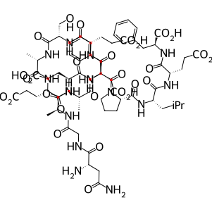 CC(C)C[C@H](NC(=O)[C@@H]1CCCN1C(=O)[C@H](Cc1ccccc1)NC(=O)[C@H](C)NC(=O)[C@H](CCC(=O)O)NC(=O)[C@H](C)NC(=O)[C@H](CO)NC(=O)[C@H](CCC(=O)O)NC(=O)[C@H](CC(=O)O)NC(=O)[C@H](CCC(=O)O)NC(=O)[C@H](C)NC(=O)CNC(=O)[C@@H](N)CC(N)=O)C(=O)N[C@@H](CCC(=O)O)C(=O)N[C@@H](Cc1ccccc1)C(=O)O